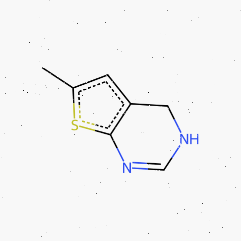 Cc1cc2c(s1)N=CNC2